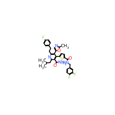 Cc1ncc(-c2c(CCc3ccc(F)cc3)nc(CC(C)C)c(C(N)=O)c2-c2ccc(C(=O)NCc3ccc(F)c(F)c3)s2)o1